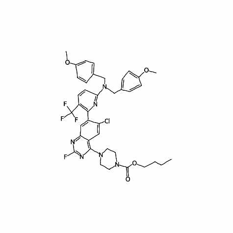 CCCCOC(=O)N1CCN(c2nc(F)nc3cc(-c4nc(N(Cc5ccc(OC)cc5)Cc5ccc(OC)cc5)ccc4C(F)(F)F)c(Cl)cc23)CC1